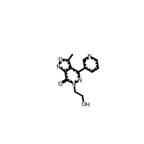 Cc1onc2c(=O)n(CCO)nc(-c3cccnc3)c12